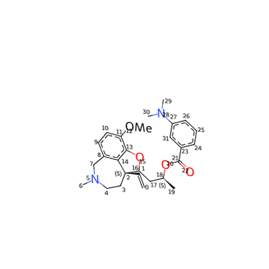 C=C[C@@]12CCN(C)Cc3ccc(OC)c(c31)OC2C[C@H](C)OC(=O)c1cccc(N(C)C)c1